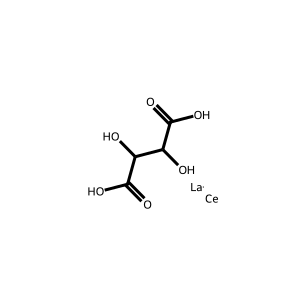 O=C(O)C(O)C(O)C(=O)O.[Ce].[La]